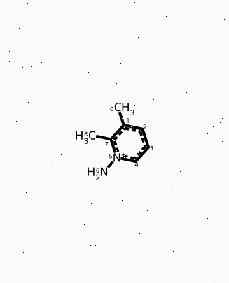 Cc1ccc[n+](N)c1C